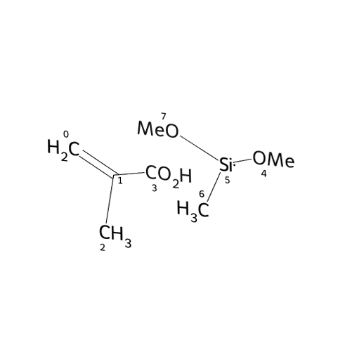 C=C(C)C(=O)O.CO[Si](C)OC